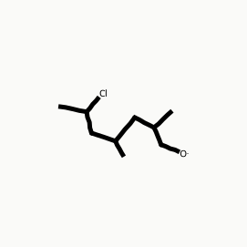 CC(Cl)CC(C)CC(C)C[O]